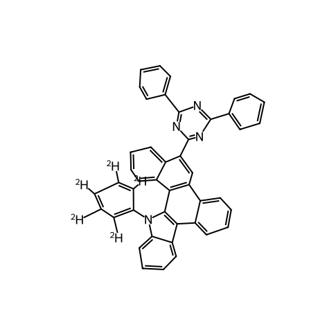 [2H]c1c([2H])c([2H])c(-n2c3ccccc3c3c4ccccc4c4cc(-c5nc(-c6ccccc6)nc(-c6ccccc6)n5)c5ccccc5c4c32)c([2H])c1[2H]